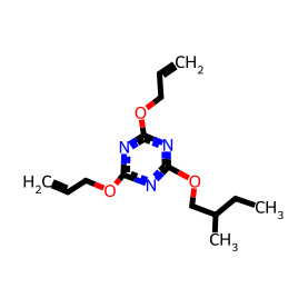 C=CCOc1nc(OCC=C)nc(OCC(C)CC)n1